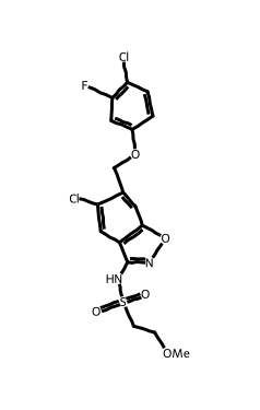 COCCS(=O)(=O)Nc1noc2cc(COc3ccc(Cl)c(F)c3)c(Cl)cc12